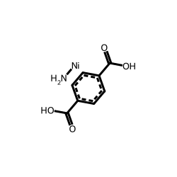 O=C(O)c1ccc(C(=O)O)cc1.[NH2][Ni]